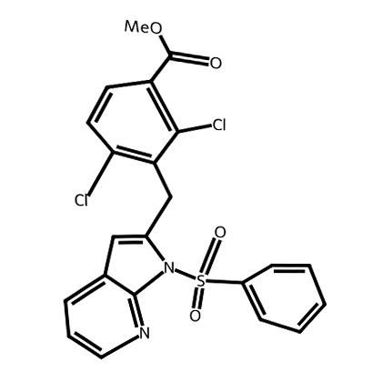 COC(=O)c1ccc(Cl)c(Cc2cc3cccnc3n2S(=O)(=O)c2ccccc2)c1Cl